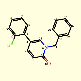 O=c1ccc(-c2ccccc2F)cn1Cc1ccccc1